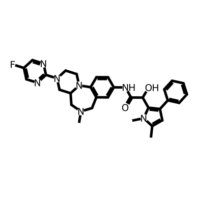 Cc1cc(-c2ccccc2)c(C(O)C(=O)Nc2ccc3c(c2)CN(C)CC2CN(c4ncc(F)cn4)CCN32)n1C